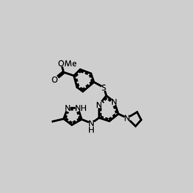 COC(=O)c1ccc(Sc2nc(Nc3cc(C)n[nH]3)cc(N3CCC3)n2)cc1